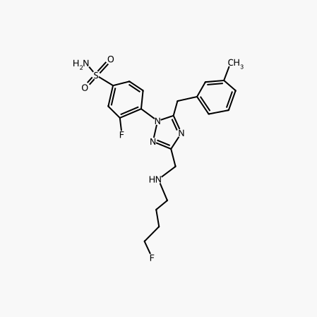 Cc1cccc(Cc2nc(CNCCCCF)nn2-c2ccc(S(N)(=O)=O)cc2F)c1